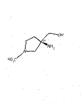 N[C@]1(CO)CCN(C(=O)O)C1